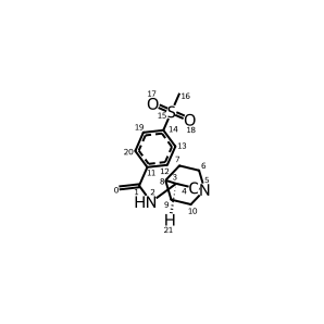 C=C(N[C@@H]1CN2CCC1CC2)c1ccc(S(C)(=O)=O)cc1